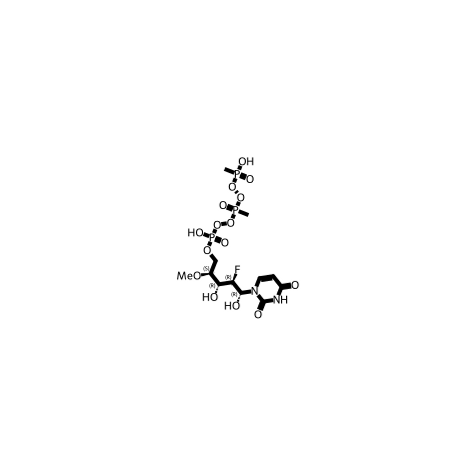 CO[C@@H](COP(=O)(O)OOP(C)(=O)OOP(C)(=O)O)[C@@H](O)[C@@H](F)[C@@H](O)n1ccc(=O)[nH]c1=O